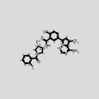 Nc1ncnn2c(-c3ccc(Cl)c(C(=O)N[C@@H]4CN(C(=O)c5ccccc5F)C[C@@H]4F)c3)cc(C(F)(F)F)c12